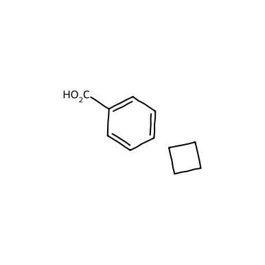 C1CCC1.O=C(O)c1ccccc1